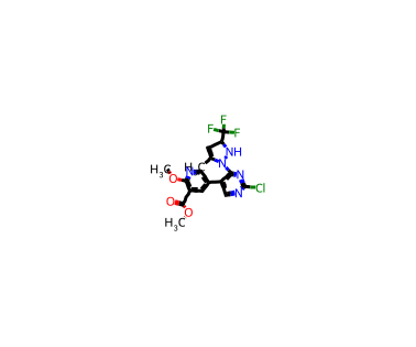 COC(=O)c1cc(-c2cnc(Cl)nc2N2NC(C(F)(F)F)C=C2C)cnc1OC